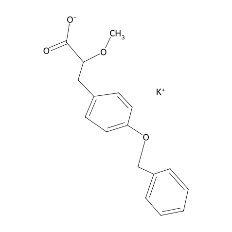 COC(Cc1ccc(OCc2ccccc2)cc1)C(=O)[O-].[K+]